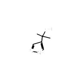 CC(C)(O)c1cn[nH]c1